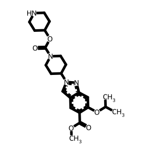 COC(=O)c1cc2cn(C3CCN(C(=O)OC4CCNCC4)CC3)nc2cc1OC(C)C